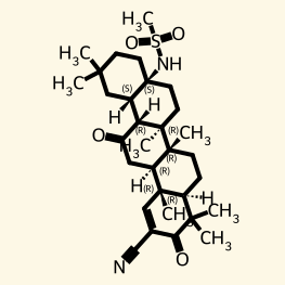 CC1(C)CC[C@]2(NS(C)(=O)=O)CC[C@]3(C)[C@H](C(=O)C[C@@H]4[C@@]5(C)C=C(C#N)C(=O)C(C)(C)[C@@H]5CC[C@]43C)[C@@H]2C1